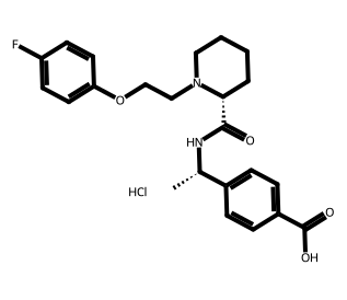 C[C@H](NC(=O)[C@H]1CCCCN1CCOc1ccc(F)cc1)c1ccc(C(=O)O)cc1.Cl